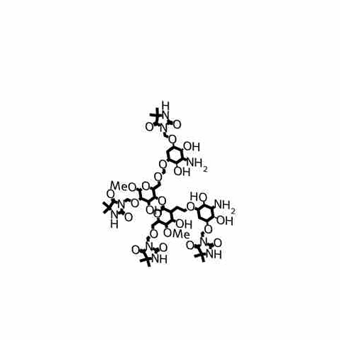 COC1OC(COCOC2C[C@@H](OCN3C(=O)NC(C)(C)C3=O)[C@@H](O)C(N)[C@@H]2O)C(OC2OC(COCN3C(=O)NC(C)(C)C3=O)C(OC)C(O)C2CCOC2C[C@H](OCN3C(=O)NC(C)(C)C3=O)[C@@H](O)C(N)[C@@H]2O)C(O)C1OCN1C(=O)NC(C)(C)C1=O